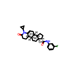 C[C@]12CC[C@H]3[C@@H](CC=C4N(C5CC5)C(=O)CC[C@@]43C)[C@@H]1CC[C@@H]2C(=O)Nc1cccc(F)c1